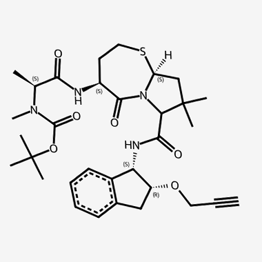 C#CCO[C@@H]1Cc2ccccc2[C@@H]1NC(=O)C1N2C(=O)[C@@H](NC(=O)[C@H](C)N(C)C(=O)OC(C)(C)C)CCS[C@H]2CC1(C)C